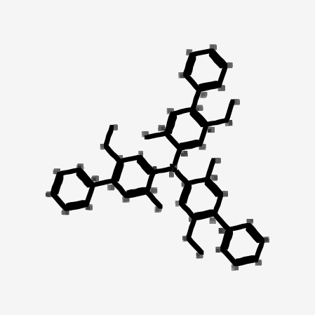 CCc1cc(N(c2cc(CC)c(-c3ccccc3)cc2C)c2cc(CC)c(-c3ccccc3)cc2C)c(C)cc1-c1ccccc1